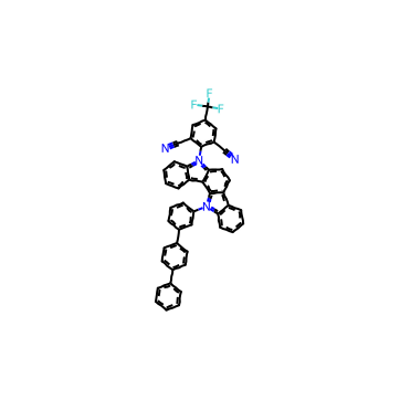 N#Cc1cc(C(F)(F)F)cc(C#N)c1-n1c2ccccc2c2c1ccc1c3ccccc3n(-c3cccc(-c4ccc(-c5ccccc5)cc4)c3)c12